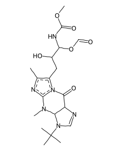 COC(=O)NC(OC=O)C(O)Cc1c(C)nc2n1C(=O)C1N=CN(C(C)(C)C)C1N2C